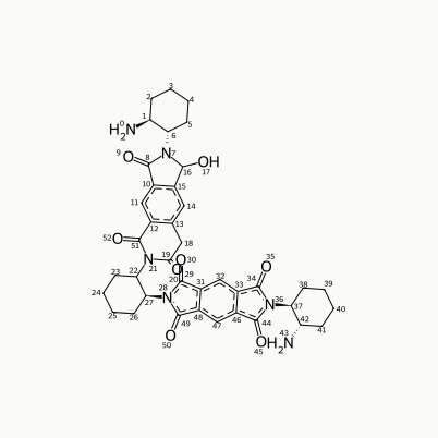 N[C@H]1CCCC[C@@H]1N1C(=O)c2cc3c(cc2C1O)CC(=O)N(C1CCCC[C@@H]1n1c(=O)c2cc4c(=O)n([C@H]5CCCC[C@@H]5N)c(=O)c4cc2c1=O)C3=O